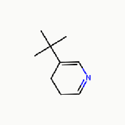 CC(C)(C)C1=CN=CCC1